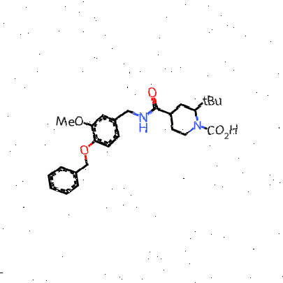 COc1cc(CNC(=O)C2CCN(C(=O)O)C(C(C)(C)C)C2)ccc1OCc1ccccc1